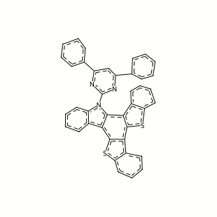 c1ccc(-c2cc(-c3ccccc3)nc(-n3c4ccccc4c4c5sc6ccccc6c5c5sc6ccccc6c5c43)n2)cc1